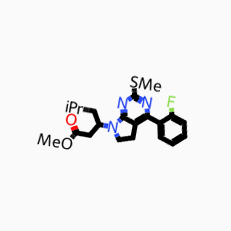 COC(=O)CC(CC(C)C)N1CCc2c(-c3ccccc3F)nc(SC)nc21